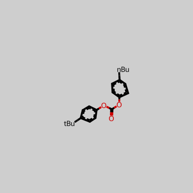 CCCCc1ccc(OC(=O)Oc2ccc(C(C)(C)C)cc2)cc1